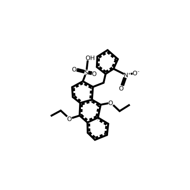 CCOc1c2ccccc2c(OCC)c2c(Cc3ccccc3[N+](=O)[O-])c(S(=O)(=O)O)ccc12